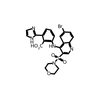 O=C(O)c1c(Nc2c(S(=O)(=O)N3CCOCC3)cnc3ccc(Br)cc23)cccc1-c1ncc[nH]1